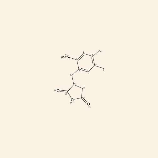 CSc1cc(C)c(C)cc1CC1CC(=O)OC1=O